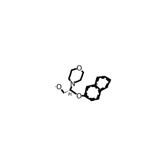 [O]C[C@@H](Oc1ccc2ccccc2c1)N1CCOCC1